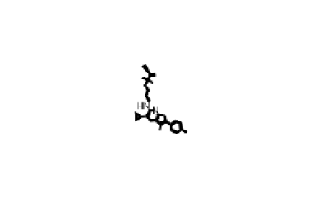 C#CC(=C)C(C)(C)CCCCNc1nc2c(cc1C1CC1)C(C)=C(c1ccc(C)cc1)C2